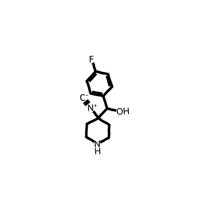 [C-]#[N+]C1(C(O)c2ccc(F)cc2)CCNCC1